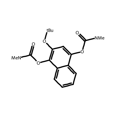 CNC(=O)Oc1cc(OC(C)(C)C)c(OC(=O)NC)c2ccccc12